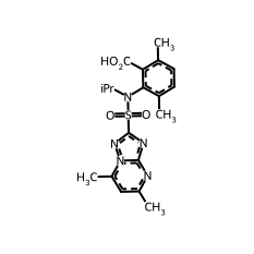 Cc1cc(C)n2nc(S(=O)(=O)N(c3c(C)ccc(C)c3C(=O)O)C(C)C)nc2n1